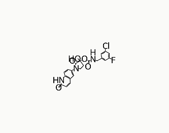 O=C(NCc1cc(F)cc(Cl)c1)OC1(O)CCN(c2ccc3[nH]c(=O)ccc3c2)C1=O